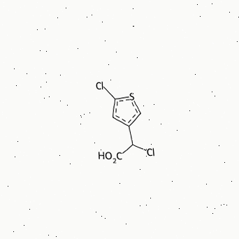 O=C(O)C(Cl)c1csc(Cl)c1